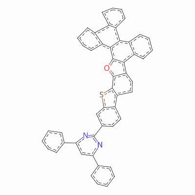 c1ccc(-c2cc(-c3ccccc3)nc(-c3ccc4c(c3)sc3c4ccc4c3oc3c4c4ccccc4c4c5ccccc5c5ccccc5c34)n2)cc1